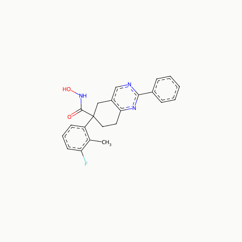 Cc1c(F)cccc1C1(C(=O)NO)CCc2nc(-c3ccccc3)ncc2C1